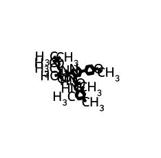 COc1ccc(-c2cnc(C(=O)N[C@H](C(=O)O)C(C)OC(C)(C)C)c(NC(=O)Nc3c(C)cc(C)cc3C)c2)cc1